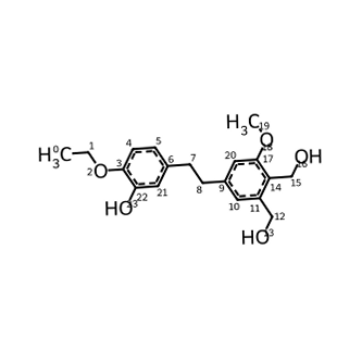 CCOc1ccc(CCc2cc(CO)c(CO)c(OC)c2)cc1O